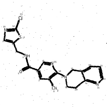 Cc1cc(C(=O)NCc2cnc(Cl)s2)cnc1N1CCc2ncccc2C1